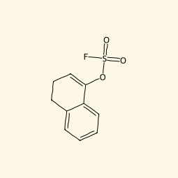 O=S(=O)(F)OC1=CCCc2ccccc21